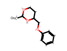 O=CC1OCCC(COc2ccccc2)O1